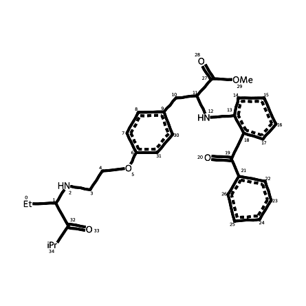 CCC(NCCOc1ccc(CC(Nc2ccccc2C(=O)c2ccccc2)C(=O)OC)cc1)C(=O)C(C)C